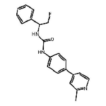 Cc1cc(-c2ccc(NC(=O)NC(CF)c3ccccc3)cc2)ccn1